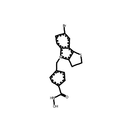 O=C(NO)c1ccc(Cn2c3c(c4cc(Br)ccc42)SCC3)cc1